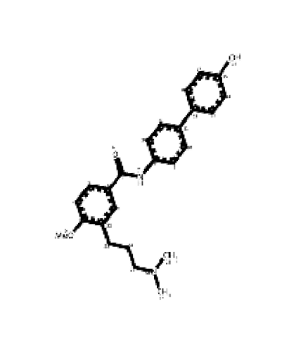 COc1ccc(C(=O)Nc2ccc(-c3ccc(O)cc3)cc2)cc1CCCN(C)C